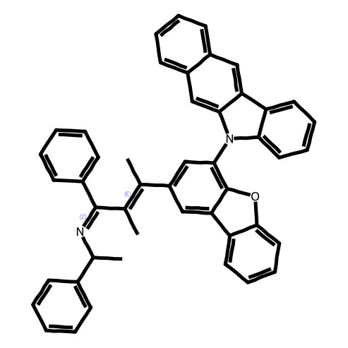 CC(/C(=N\C(C)c1ccccc1)c1ccccc1)=C(/C)c1cc(-n2c3ccccc3c3cc4ccccc4cc32)c2oc3ccccc3c2c1